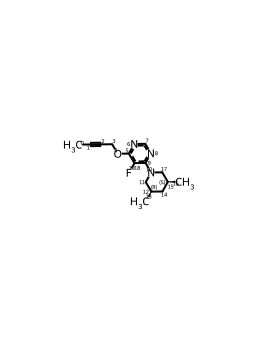 CC#CCOc1ncnc(N2C[C@H](C)C[C@H](C)C2)c1F